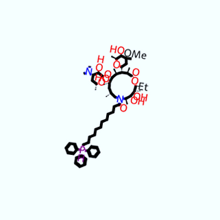 CC[C@H]1OC(=O)[C@H](C)[C@@H](C2C[C@@](C)(OC)[C@@H](O)[C@H](C)O2)[C@H](C)[C@@H](O[C@@H]2O[C@H](C)C[C@H](N(C)C)[C@H]2O)[C@](C)(O)C[C@@H](C)CN(C(=O)CCCCCCCCCCC[PH](c2ccccc2)(c2ccccc2)c2ccccc2)[C@H](C)[C@@H](O)[C@]1(C)O